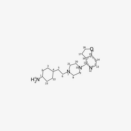 NC1CCC(CCN2CCN(c3nccc4c3CCO4)CC2)CC1